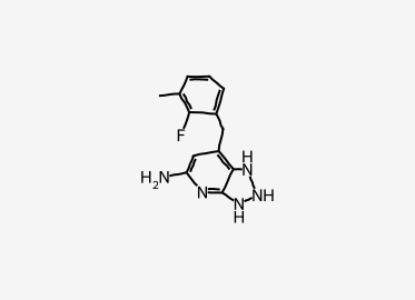 Cc1cccc(Cc2cc(N)nc3c2NNN3)c1F